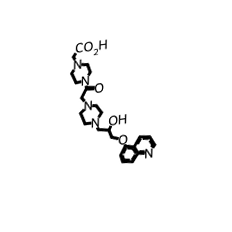 O=C(O)CN1CCN(C(=O)CN2CCN(CC(O)COc3cccc4ncccc34)CC2)CC1